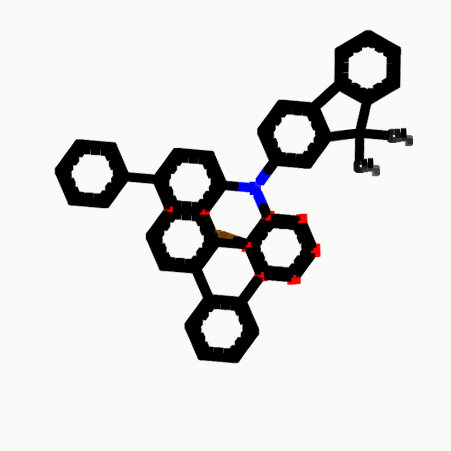 CC1(C)c2ccccc2-c2ccc(N(c3ccc(-c4ccccc4)cc3)c3ccccc3-c3ccccc3-c3ccccc3-c3ccccc3Br)cc21